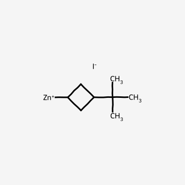 CC(C)(C)C1C[CH]([Zn+])C1.[I-]